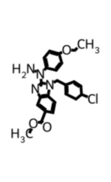 CCOc1ccc(N(N)c2nc3cc(C(=O)OC)ccc3n2CC2=CCC(Cl)C=C2)cc1